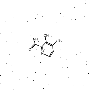 CCCCc1ccnc(C(N)=O)c1O